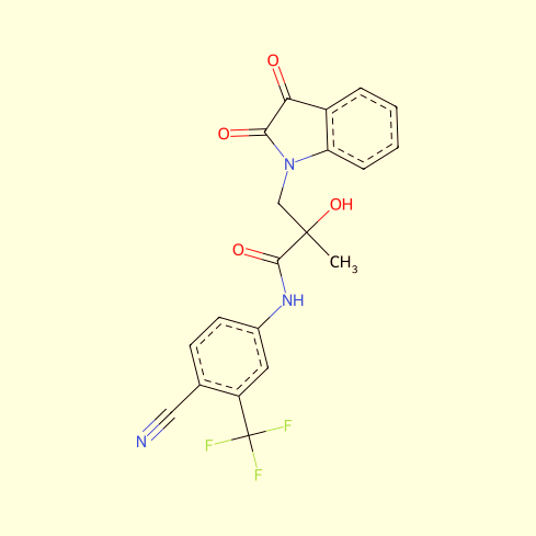 CC(O)(CN1C(=O)C(=O)c2ccccc21)C(=O)Nc1ccc(C#N)c(C(F)(F)F)c1